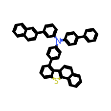 c1ccc(-c2ccc(N(c3ccc(-c4cccc5sc6c7ccccc7ccc6c45)cc3)c3cccc(-c4ccc5ccccc5c4)c3)cc2)cc1